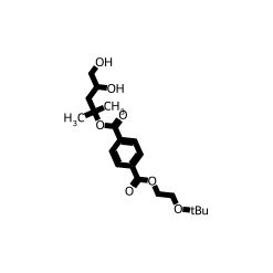 CC(C)(C)OCCOC(=O)c1ccc(C(=O)OC(C)(C)CC(O)CO)cc1